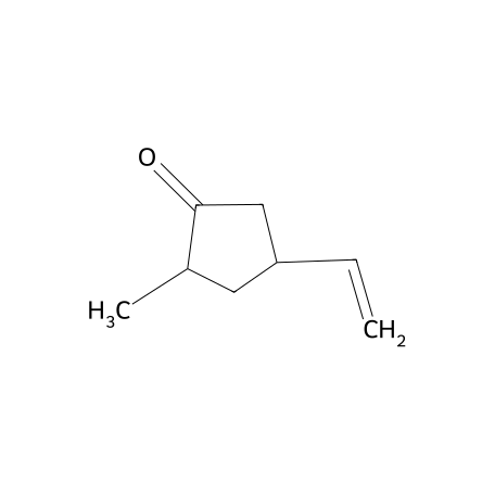 C=CC1CC(=O)C(C)C1